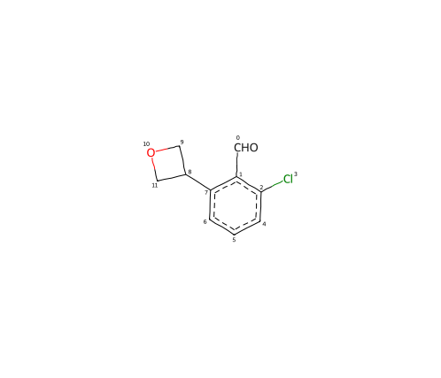 O=Cc1c(Cl)cccc1C1COC1